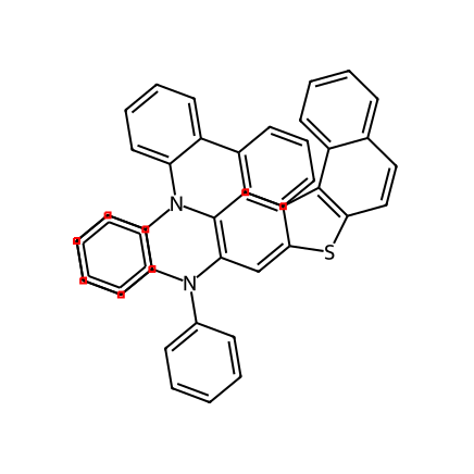 c1ccc(-c2ccccc2N(c2ccccc2)c2cc3c(cc2N(c2ccccc2)c2ccccc2)sc2ccc4ccccc4c23)cc1